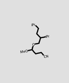 COC(CCC#N)OCC(CCC(C)C)C(C)C